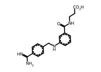 N=C(N)c1ccc(CNc2cccc(C(=O)NCCC(=O)O)c2)cc1